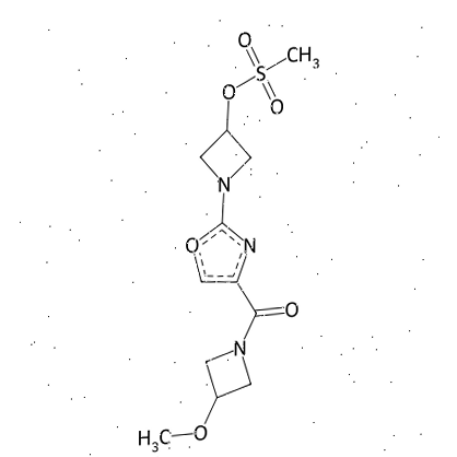 COC1CN(C(=O)c2coc(N3CC(OS(C)(=O)=O)C3)n2)C1